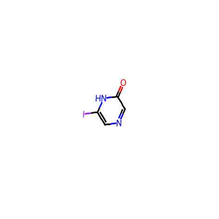 O=c1cncc(I)[nH]1